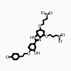 CCN(CC)CCCOc1cc(OCCCN(CC)CC)c2nc(-c3ccc(OCCc4ccc(Cl)cc4)c(O)c3)[nH]c2c1